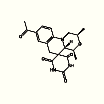 CC(=O)c1ccc2c(c1)CC1(C(=O)NC(=O)NC1=O)[C@H]1[C@H](C)O[C@H](C)CN21